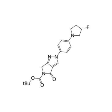 CC(C)(C)OC(=O)N1Cc2nn(-c3ccc(N4CC[C@H](F)C4)cc3)cc2C1=O